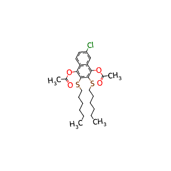 CCCCCCSc1c(SCCCCCC)c(OC(C)=O)c2cc(Cl)ccc2c1OC(C)=O